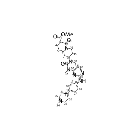 COC(=O)C1CCC2CC(N3Cc4cnc(Nc5ccc(N6CCN(C)CC6)cc5)nc4N(C)C3=O)CCN2C1=O